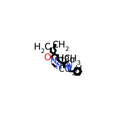 C=CCC1(CC=C)C[C@@H]2N(CCN(C(=O)O)[C@]2(c2cn(Cc3ccccc3)nc2C)C(C)(C)C)C1=O